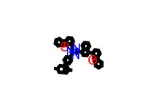 CC1CC2CC(C)CC(c3ccc(-c4nc(-c5ccc(-c6cccc7c6oc6ccccc67)c6ccccc56)nc(-c5cccc6c5oc5ccccc56)n4)cc3)(C1)C2